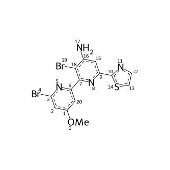 COc1cc(Br)nc(-c2nc(-c3nccs3)cc(N)c2Br)c1